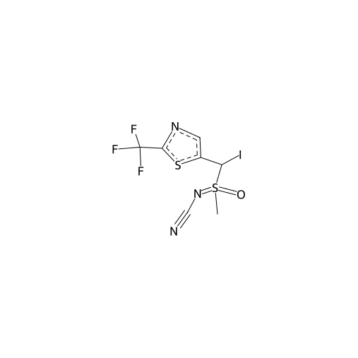 CS(=O)(=NC#N)C(I)c1cnc(C(F)(F)F)s1